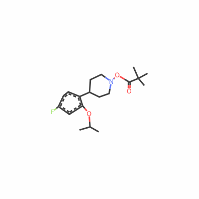 CC(C)Oc1cc(F)ccc1C1CCN(OC(=O)C(C)(C)C)CC1